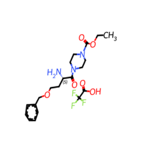 CCOC(=O)N1CCN(C(=O)[C@@H](N)CCOCc2ccccc2)CC1.O=C(O)C(F)(F)F